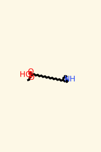 CCCOC(CCCCCCCCCCCCCCCCC1CC(C)(C)NC(C)(C)C1)C(=O)O